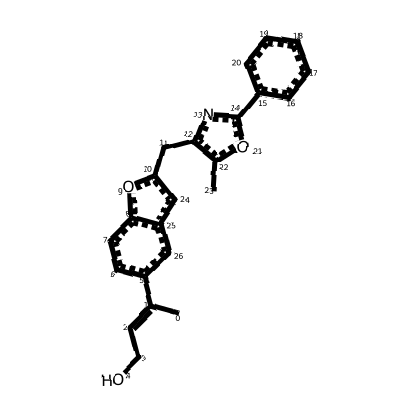 C/C(=C\CO)c1ccc2oc(Cc3nc(-c4ccccc4)oc3C)cc2c1